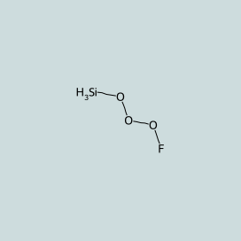 FOOO[SiH3]